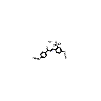 [N-]=[N+]=Nc1ccc(C(=O)/C=C/c2ccc(N=[N+]=[N-])cc2S(=O)(=O)[O-])cc1.[Na+]